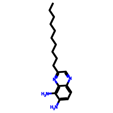 CCCCCCCCCCc1cnc2ccc(N)c(N)c2n1